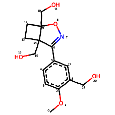 COc1ccc(C2=NOC3(CO)CCC23CO)cc1CO